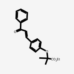 CCOC(=O)C(C)(C)Oc1ccc(/C=C/C(=O)c2ccccc2)cc1